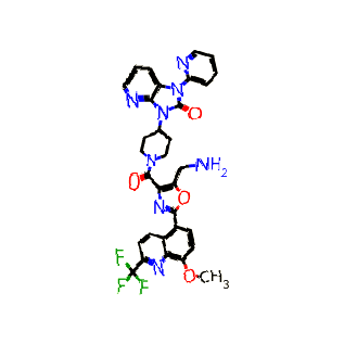 COc1ccc(-c2nc(C(=O)N3CCC(n4c(=O)n(-c5ccccn5)c5cccnc54)CC3)c(CN)o2)c2ccc(C(F)(F)F)nc12